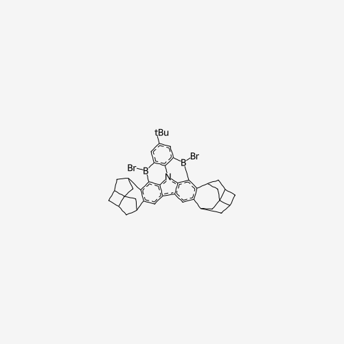 CC(C)(C)c1cc2c3c(c1)B(Br)c1c4c(cc5c6cc7c(c(c6n-3c15)B2Br)C1CC2CC3CC7CC32C1)C1CC2CC3CC4CC23C1